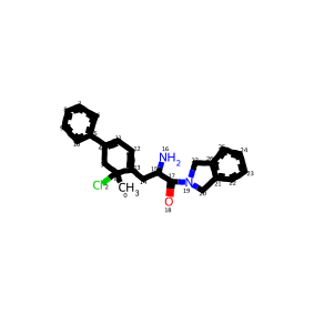 CC1(Cl)CC(c2ccccc2)=CC=C1CC(N)C(=O)N1Cc2ccccc2C1